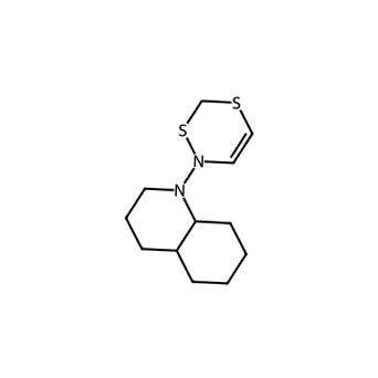 C1=CN(N2CCCC3CCCCC32)SCS1